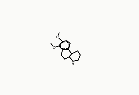 COc1ccc2c(c1OC)CCC1NCCCC21